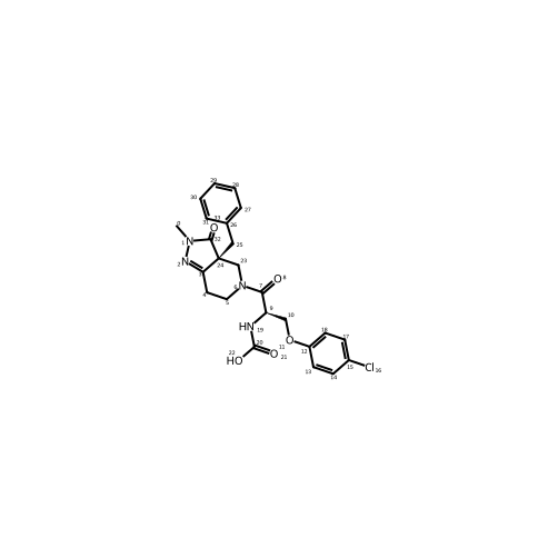 CN1N=C2CCN(C(=O)[C@@H](COc3ccc(Cl)cc3)NC(=O)O)C[C@@]2(Cc2ccccc2)C1=O